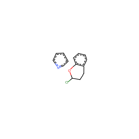 ClC1CCc2ccccc2O1.c1ccncc1